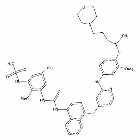 COc1cc(Nc2cc(Oc3ccc(NC(=O)Nc4cc(C(C)(C)C)cc(NS(C)(=O)=O)c4OC)c4ccccc34)ccn2)ccc1SN(C)CCCN1CCOCC1